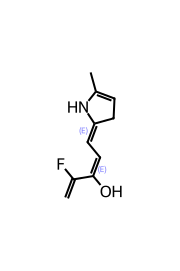 C=C(F)/C(O)=C\C=C1/CC=C(C)N1